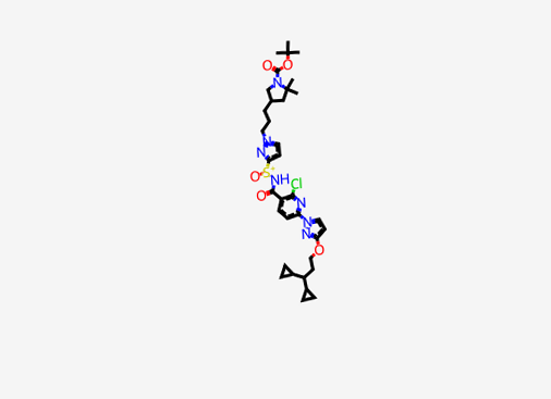 CC(C)(C)OC(=O)N1CC(CCCn2ccc([S+]([O-])NC(=O)c3ccc(-n4ccc(OCCC(C5CC5)C5CC5)n4)nc3Cl)n2)CC1(C)C